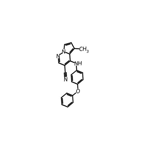 Cc1ccn2ncc(C#N)c(Nc3ccc(Oc4ccccc4)cc3)c12